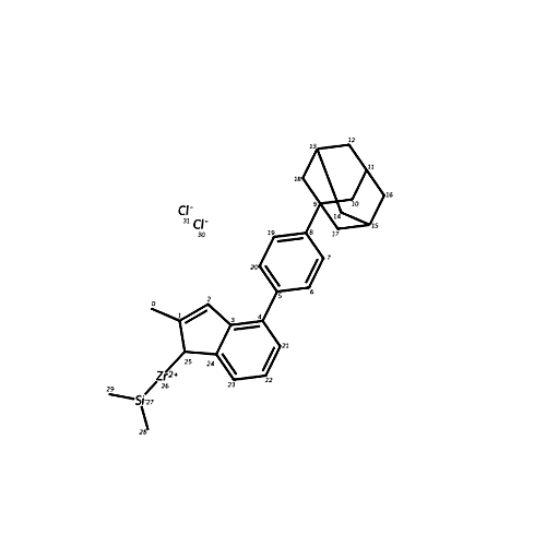 CC1=Cc2c(-c3ccc(C45CC6CC(CC(C6)C4)C5)cc3)cccc2[CH]1[Zr+2][Si](C)C.[Cl-].[Cl-]